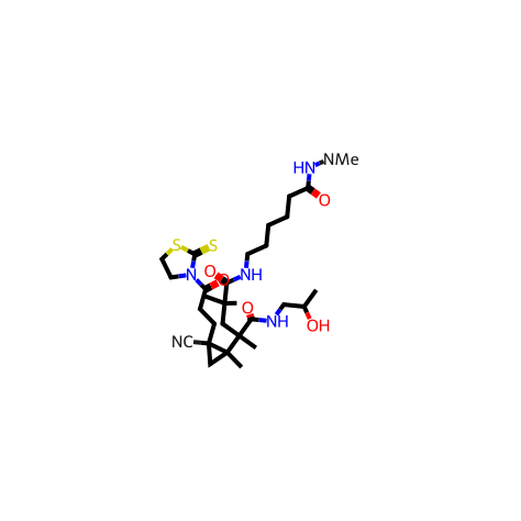 CNNC(=O)CCCCCNC(=O)C(C)(C)CC(C)(C(=O)NCC(C)O)C1(C)CC1(C#N)CCC(=O)N1CCSC1=S